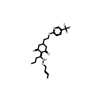 CC=CCONC(CCC)=C1C(=O)CC(CCSc2ccc(C(F)(F)F)cn2)CC1=O